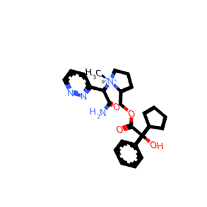 C[N@@+]1(C(C(N)=O)c2cccnn2)CCCC1COC(=O)C(O)(c1ccccc1)C1CCCC1